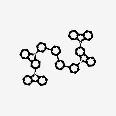 c1cc(-c2cccc(-c3cccc(-n4c5ccccc5c5cc(-n6c7ccccc7c7ccccc76)ccc54)c3)c2)cc(-c2cccc(-n3c4ccccc4c4cc(-n5c6ccccc6c6ccccc65)ccc43)c2)c1